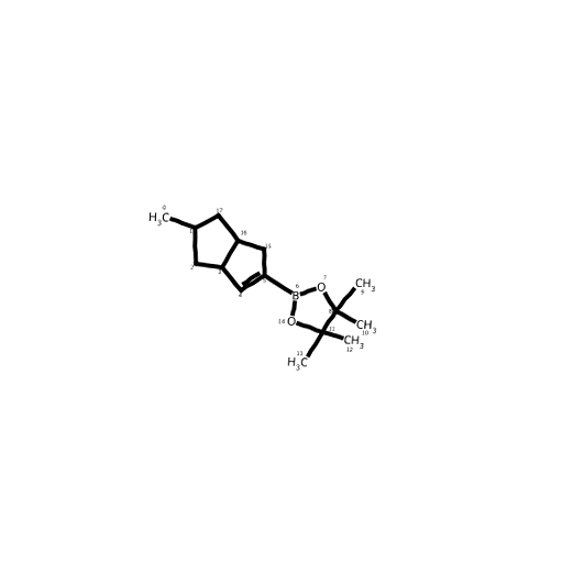 CC1CC2C=C(B3OC(C)(C)C(C)(C)O3)CC2C1